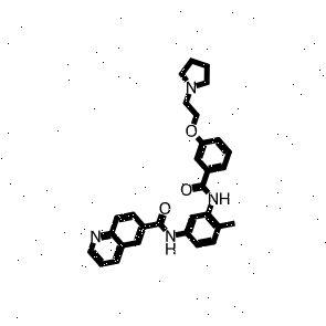 Cc1ccc(NC(=O)c2ccc3ncccc3c2)cc1NC(=O)c1cccc(OCCN2CCCC2)c1